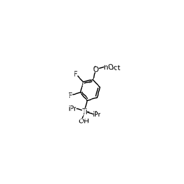 CCCCCCCCOc1cc[c]([Ti]([OH])([CH](C)C)[CH](C)C)c(F)c1F